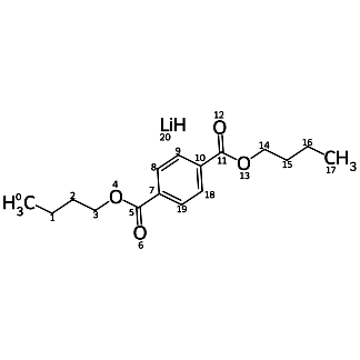 CCCCOC(=O)c1ccc(C(=O)OCCCC)cc1.[LiH]